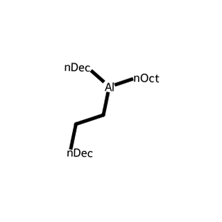 CCCCCCCCCCC[CH2][Al]([CH2]CCCCCCC)[CH2]CCCCCCCCC